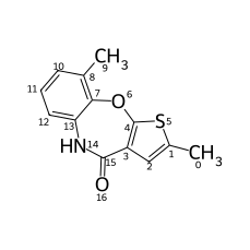 Cc1cc2c(s1)Oc1c(C)cccc1NC2=O